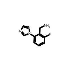 NCc1c(F)cccc1-n1cncn1